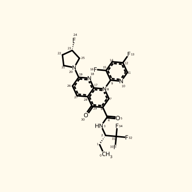 CC[C@H](NC(=O)c1cn(-c2ncc(F)cc2F)c2nc(N3CC[C@H](F)C3)ccc2c1=O)C(F)(F)F